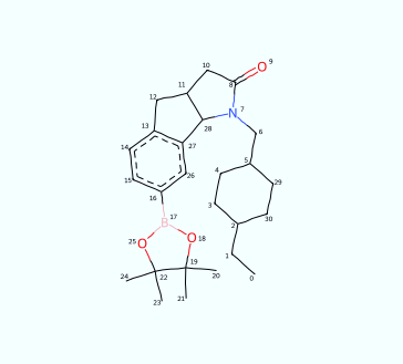 CCC1CCC(CN2C(=O)CC3Cc4ccc(B5OC(C)(C)C(C)(C)O5)cc4C32)CC1